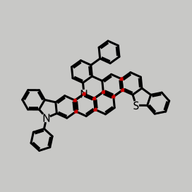 c1ccc(-c2ccccc2-c2c(-c3ccccc3)cccc2N(c2cccc(-c3cccc4c3sc3ccccc34)c2)c2ccc3c(c2)c2ccccc2n3-c2ccccc2)cc1